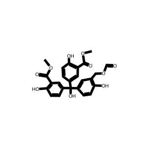 COC(=O)c1cc(C(O)(c2ccc(O)c(COC=O)c2)c2ccc(O)c(C(=O)OC)c2)ccc1O